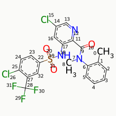 Cc1ccccc1N(C)C(=O)c1ncc(Cl)cc1NS(=O)(=O)c1ccc(Cl)c(C(F)(F)F)c1